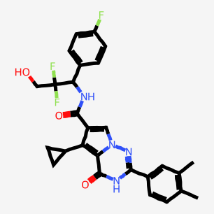 Cc1ccc(-c2nn3cc(C(=O)NC(c4ccc(F)cc4)C(F)(F)CO)c(C4CC4)c3c(=O)[nH]2)cc1C